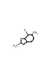 Cc1cc2ccc(C)c(F)c2s1